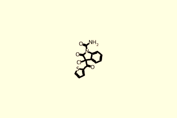 NC(=O)N1C(=O)C(Cl)(C(=O)c2cccs2)c2ccccc21